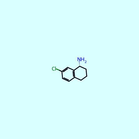 N[C@@H]1CCCc2ccc(Cl)cc21